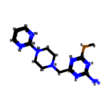 CSc1nc(N)nc(CN2CCN(c3ncccn3)CC2)n1